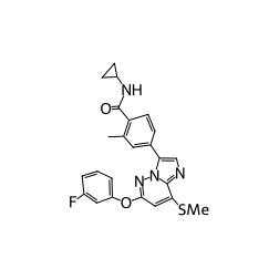 CSc1cc(Oc2cccc(F)c2)nn2c(-c3ccc(C(=O)NC4CC4)c(C)c3)cnc12